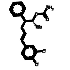 CC(C)(C)[C@@H](OC(N)=O)C(CC=Cc1ccc(Cl)c(Cl)c1)c1ccccc1